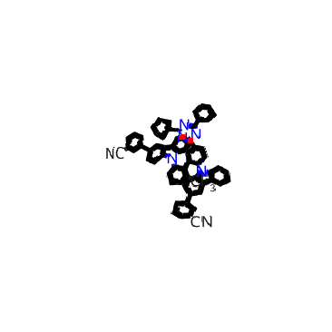 N#Cc1cccc(-c2ccc3c(c2)c2ccccc2n3-c2ccc(-c3nc(-c4ccccc4)nc(-c4ccccc4)n3)cc2-c2c(-n3c4ccccc4c4cc(-c5cccc(C#N)c5)ccc43)cccc2C(F)(F)F)c1